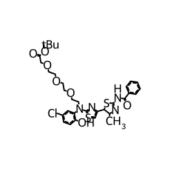 CC1N=C(NC(=O)c2ccccc2)SC1c1csc(N(CCOCCOCCOCC(=O)OC(C)(C)C)c2cc(Cl)ccc2O)n1